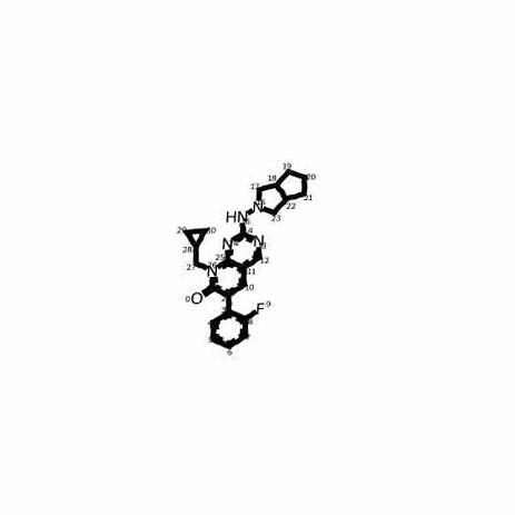 O=c1c(-c2ccccc2F)cc2cnc(NN3CC4CCCC4C3)nc2n1CC1CC1